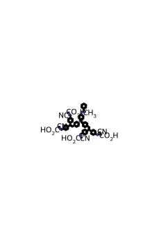 C/C(=C\c1ccc(N(c2ccc(C=C(c3ccc(/C=C(\C#N)C(=O)O)cc3)c3ccc(/C=C(\C#N)C(=O)O)cc3)cc2)c2ccc(C=C(c3ccc(/C=C(\C#N)C(=O)O)cc3)c3ccc(/C=C(\C#N)C(=O)O)cc3)cc2)cc1)c1ccccc1